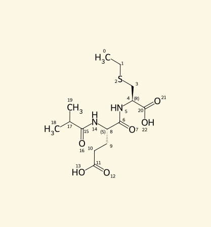 CCSC[C@H](NC(=O)[C@H](CCC(=O)O)NC(=O)C(C)C)C(=O)O